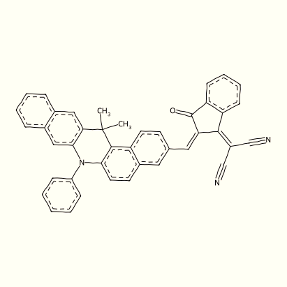 CC1(C)c2cc3ccccc3cc2N(c2ccccc2)c2ccc3cc(/C=C4\C(=O)c5ccccc5C4=C(C#N)C#N)ccc3c21